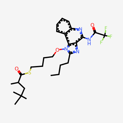 CCCCc1nc2c(NC(=O)C(F)(F)F)nc3ccccc3c2n1OCCCCSC(=O)C(C)CC(C)(C)C